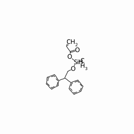 C=CC(=O)O[SiH](C)OCC(c1ccccc1)c1ccccc1